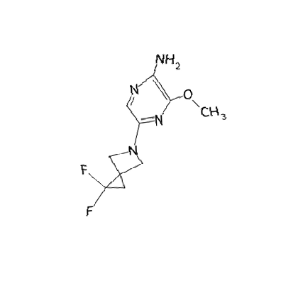 COc1nc(N2CC3(C2)CC3(F)F)cnc1N